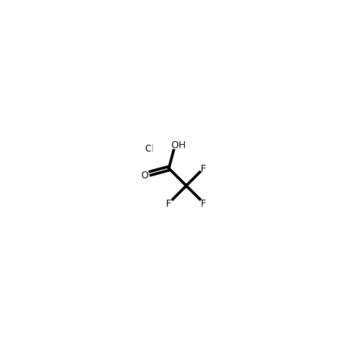 O=C(O)C(F)(F)F.[C]